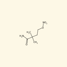 CC(C)(CCO[N+](=O)[O-])C(N)=O